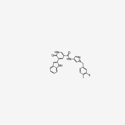 Cc1ccc(Cn2cc(NC(=O)c3c[nH]c(=O)c(-c4cc5ccccc5[nH]4)c3)cn2)cc1F